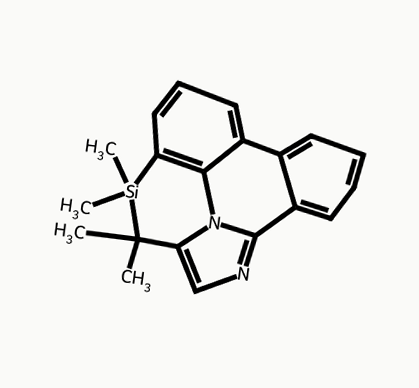 CC1(C)c2cnc3c4ccccc4c4cccc(c4n23)[Si]1(C)C